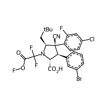 CC(C)(C)C[C@@H]1N(C(F)(F)C(=O)OF)[C@@H](C(=O)O)[C@H](c2cccc(Br)c2)[C@@]1(C#N)c1ccc(Cl)cc1F